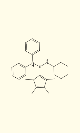 CC1=C(C)C(C)[C]([Ti]([NH]C2CCCCC2)[SiH](c2ccccc2)c2ccccc2)=C1C